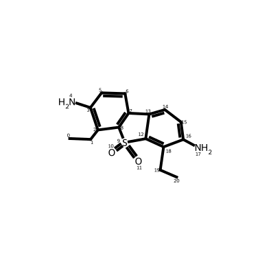 CCc1c(N)ccc2c1S(=O)(=O)c1c-2ccc(N)c1CC